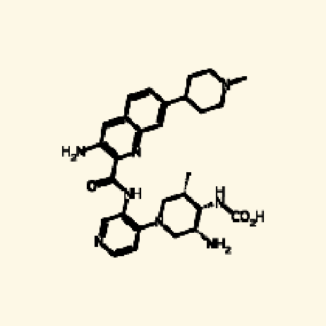 C[C@H]1CN(c2ccncc2NC(=O)c2nc3cc(C4CCN(C)CC4)ccc3cc2N)C[C@@H](N)[C@H]1NC(=O)O